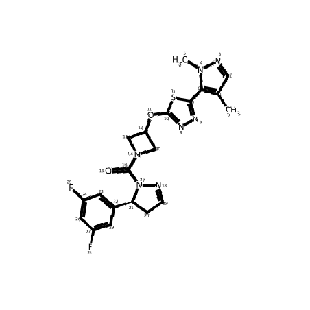 Cc1cnn(C)c1-c1nnc(OC2CN(C(=O)N3N=CC[C@H]3c3cc(F)cc(F)c3)C2)s1